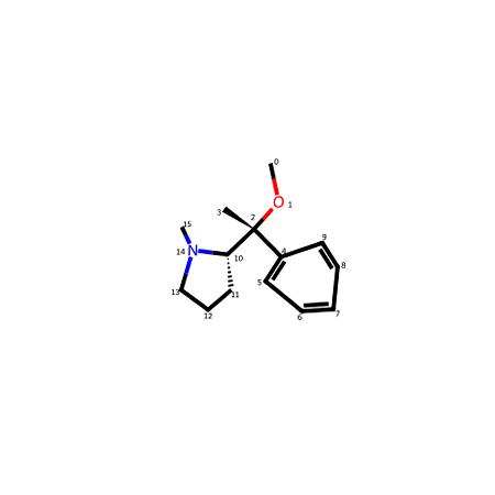 CO[C@](C)(c1ccccc1)[C@@H]1CCCN1C